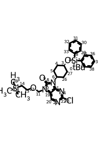 CC(C)(C)[Si](O[C@H]1CC[C@H](n2c(=O)n(COCC[Si](C)(C)C)c3cnc(Cl)nc32)CC1)(c1ccccc1)c1ccccc1